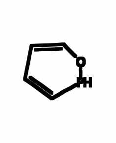 C1=COPC=C1